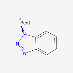 CCC[C@H](C)n1nnc2ccccc21